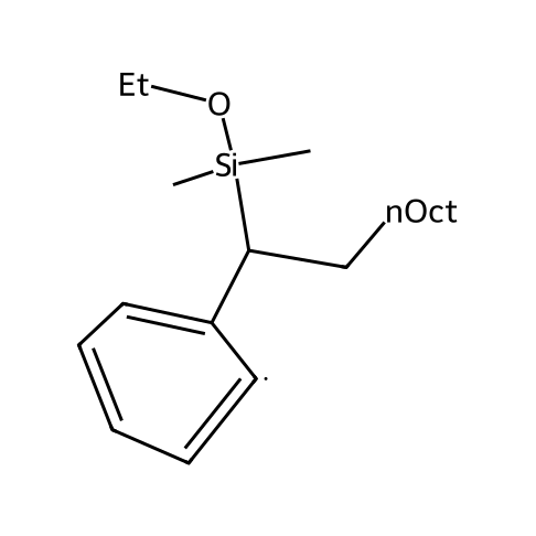 CCCCCCCCCC(c1[c]cccc1)[Si](C)(C)OCC